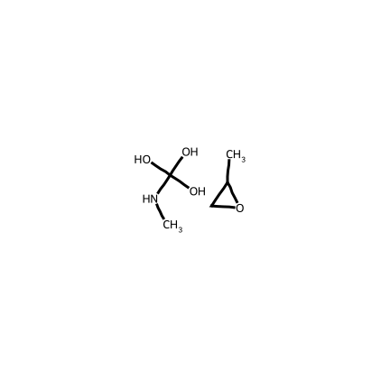 CC1CO1.CNC(O)(O)O